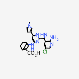 Cn1ccc(-c2cc(NC3C4CCC(CC4)C3C(=O)O)nc(C(=N)c3cc(Cl)cnc3N)n2)c1